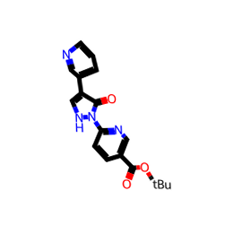 CC(C)(C)OC(=O)c1ccc(-n2[nH]cc(-c3cccnc3)c2=O)nc1